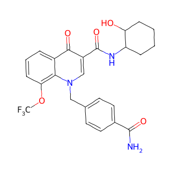 NC(=O)c1ccc(Cn2cc(C(=O)NC3CCCCC3O)c(=O)c3cccc(OC(F)(F)F)c32)cc1